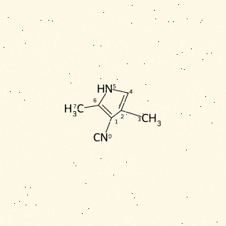 [C-]#[N+]c1c(C)c[nH]c1C